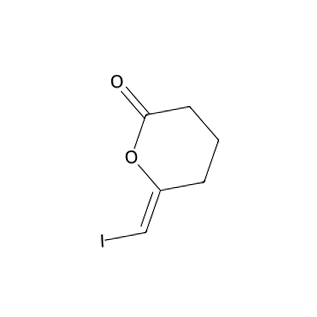 O=C1CCCC(=CI)O1